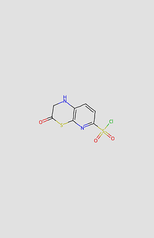 O=C1CNc2ccc(S(=O)(=O)Cl)nc2S1